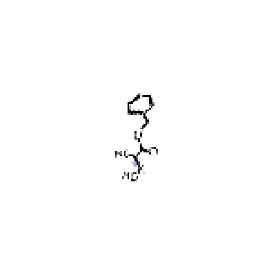 N#C/C(=N\O)C(=O)OCc1ccccc1